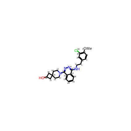 COc1ccc(CCNc2nnc(N3CCC4(CC3)CC(O)C4)c3ccccc23)cc1Cl